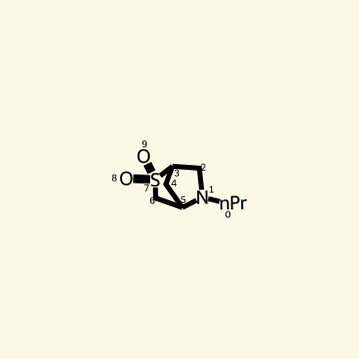 CCCN1CC2CC1CS2(=O)=O